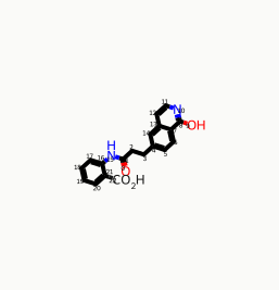 O=C(CCc1ccc2c(O)nccc2c1)Nc1ccccc1C(=O)O